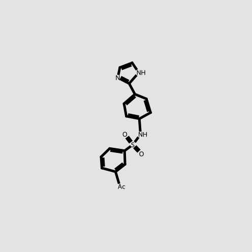 CC(=O)c1cccc(S(=O)(=O)Nc2ccc(-c3ncc[nH]3)cc2)c1